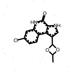 CC1OC(c2c[nH]c3c(=O)[nH]c4cc(Cl)ccc4c23)O1